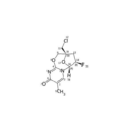 Cc1cn2c(nc1=O)OC[C@]1(CCl)C[C@@H](F)[C@H]2O1